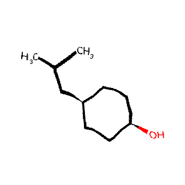 CC(C)C[C@H]1CC[C@@H](O)CC1